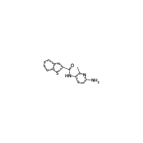 Cc1nc(N)ccc1NC(=O)c1cc2ccccc2s1